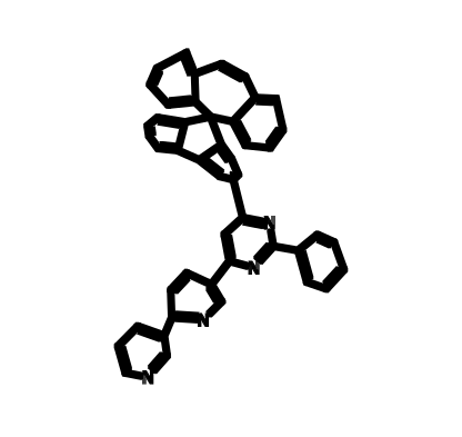 C1=Cc2ccccc2C2(c3ccccc31)c1ccccc1-c1cc(-c3cc(-c4ccc(-c5cccnc5)nc4)nc(-c4ccccc4)n3)ccc12